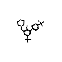 CC(C)(C)c1cc(CN2CCOCC2)c(O)c(-c2ccc(C(F)(F)F)nc2)c1